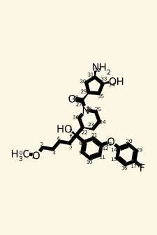 COCCCC[C@@](O)(c1cccc(Oc2ccc(F)cc2)c1)[C@@H]1CCCN(C(=O)[C@H]2C[C@@H](N)[C@@H](O)C2)C1